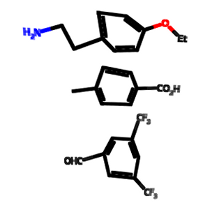 CCOc1ccc(CCN)cc1.Cc1ccc(C(=O)O)cc1.O=Cc1cc(C(F)(F)F)cc(C(F)(F)F)c1